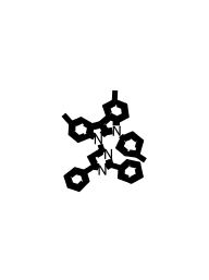 Cc1ccc(-n2c3ccc(C)cc3c3c4cc(C)ccc4n(-c4cc(-c5ccccc5)nc(-c5ccccc5)n4)c32)cc1